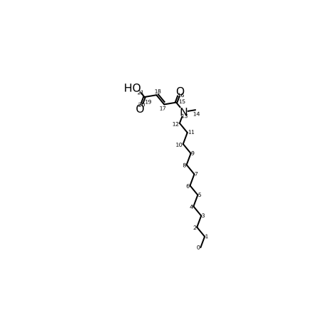 CCCCCCCCCCCCCN(C)C(=O)/C=C/C(=O)O